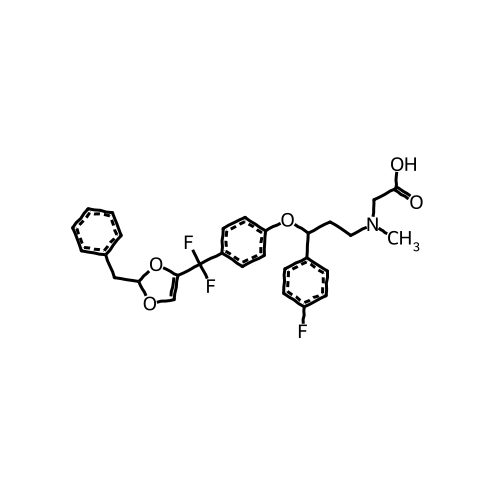 CN(CCC(Oc1ccc(C(F)(F)C2=COC(Cc3ccccc3)O2)cc1)c1ccc(F)cc1)CC(=O)O